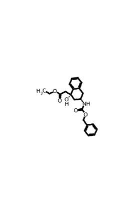 CCOC(=O)C[C@]1(O)C[C@H](NC(=O)OCc2ccccc2)Cc2ccccc21